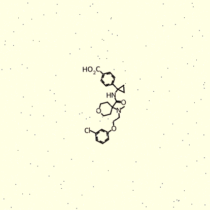 CN(CCOc1cccc(Cl)c1)C1(C(=O)NC2(c3ccc(C(=O)O)cc3)CC2)CCOCC1